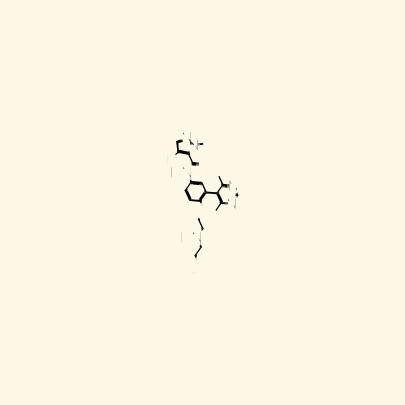 COCCNCCOc1ccc(NC(=O)c2c(F)cnn2C)cc1-c1c(C)ncnc1C